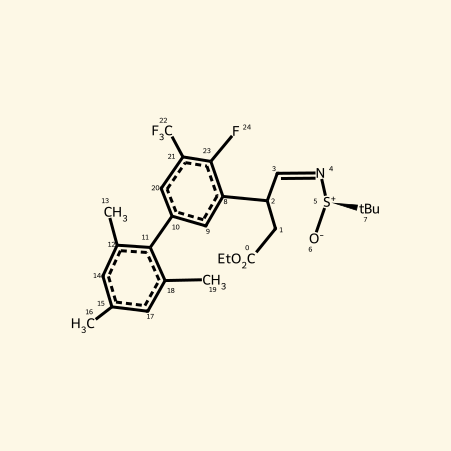 CCOC(=O)CC(/C=N\[S@+]([O-])C(C)(C)C)c1cc(-c2c(C)cc(C)cc2C)cc(C(F)(F)F)c1F